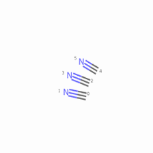 C#N.C#N.C#N